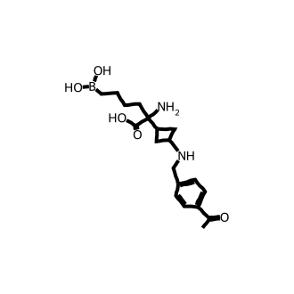 CC(=O)c1ccc(CNC2CC(C(N)(CCCCB(O)O)C(=O)O)C2)cc1